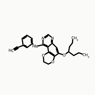 C#Cc1cccc(Nc2ncnc3cc(OC(CCC)CCC)c4c(c23)OCCO4)c1